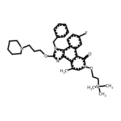 Cc1cn(OCC[Si](C)(C)C)c(=O)c2c3cc(F)ccc3c3c(nc(OCCCN4CCCCC4)n3Cc3ccccc3)c12